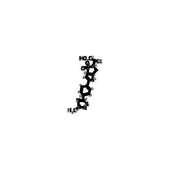 CCC(C(=O)O)N1Cc2sc(-c3ccc(-c4nnn(C)n4)cc3)cc2S1(=O)=O